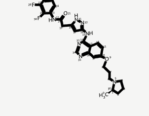 C[C@@H]1CCCN1CCCOc1ccc2c(Nc3cc(CC(=O)Nc4cccc(F)c4F)[nH]n3)ncnc2c1